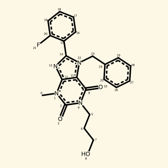 Cn1c(=O)n(CCCO)c(=O)c2c1nc(-c1ccccc1F)n2Cc1ccccc1